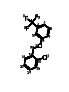 FC(F)(F)c1c[c]cc(OCc2ccccc2Cl)c1